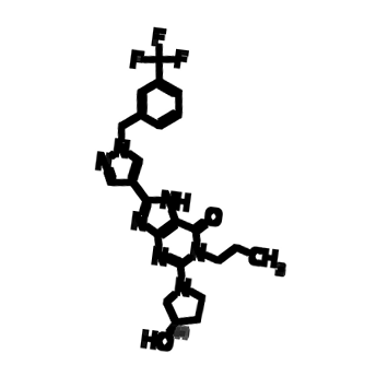 CCCn1c(N2CC[C@@H](O)C2)nc2nc(-c3cnn(Cc4cccc(C(F)(F)F)c4)c3)[nH]c2c1=O